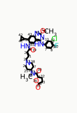 COc1nc(Nc2ccc(F)c(Cl)c2)c2cc(NC(=O)C=CCN3CCC(N(C)C(=O)C4CCC(=O)O4)CC3)c(C3CC3)cc2n1